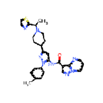 Cc1ccc(-n2nc(C3CCN(C(C)c4nccs4)CC3)cc2NC(=O)c2cnn3cccnc23)cc1